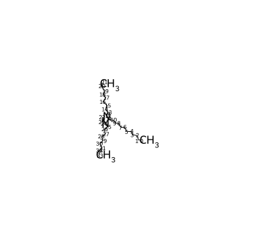 CCCCCCCCCCCC1N(CCCCCCCCC)C=CN1CCCCCCCCC